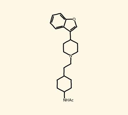 CC(=O)NC1CCC(CCN2CCC(c3coc4ccccc34)CC2)CC1